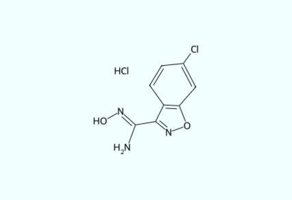 Cl.NC(=NO)c1noc2cc(Cl)ccc12